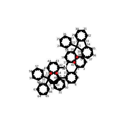 c1ccc(-c2cccc(-c3ccccc3)c2N(c2ccc(C3(c4ccccc4)c4ccccc4-c4ccccc43)cc2)c2cccc3c2-c2ccccc2C3(c2ccccc2)c2ccccc2)cc1